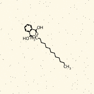 CCCCCCCCCCCCC.O=C(O)c1ccccc1C(=O)O